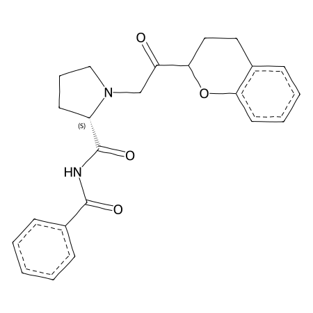 O=C(NC(=O)[C@@H]1CCCN1CC(=O)C1CCc2ccccc2O1)c1ccccc1